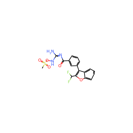 CS(=O)(=O)ONC(N)=NC(=O)c1cccc(-c2c(C(F)F)oc3ccccc23)c1